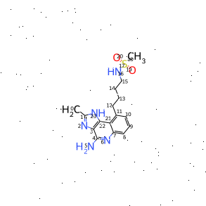 [CH2]c1nc2c(N)nc3cccc(CCCCNS(C)(=O)=O)c3c2[nH]1